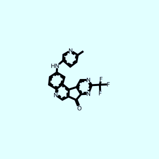 Cc1ccc(Nc2ccc3ncc4c(c3c2)-c2cnc(C(F)(F)F)nc2C4=O)cn1